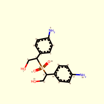 Nc1ccc(C(CO)S(=O)(=O)C(CO)c2ccc(N)cc2)cc1